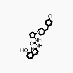 O=C(Nc1ccc2cccc(O)c2n1)NC1CCCC1N1CCC(Cc2ccc(Cl)cc2)CC1